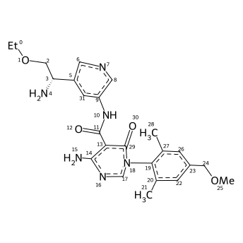 CCOC[C@@H](N)c1cncc(NC(=O)c2c(N)ncn(-c3c(C)cc(COC)cc3C)c2=O)c1